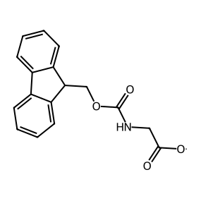 [O]C(=O)CNC(=O)OCC1c2ccccc2-c2ccccc21